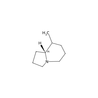 CC1CCCN2CCC[C@H]12